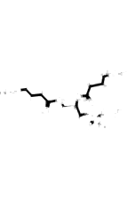 CCCCCCCCCCCCCC(=O)OC[C@H](COP(=O)(O)C(=O)O)OC(=O)CCCCCCCCCCCCC